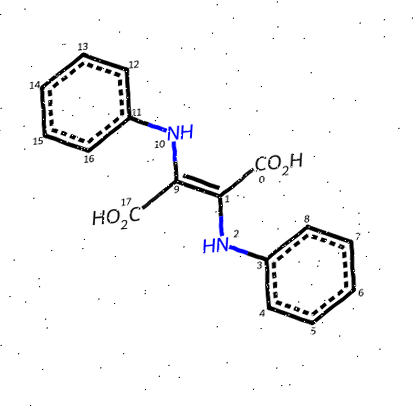 O=C(O)/C(Nc1ccccc1)=C(\Nc1ccccc1)C(=O)O